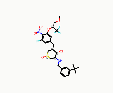 COC[C@@H](Oc1cc(C[C@@H]2C[S@+]([O-])C[C@H](NCc3cccc(C(C)(C)C)c3)[C@H]2O)cc(F)c1[N+](=O)[O-])C(F)(F)F